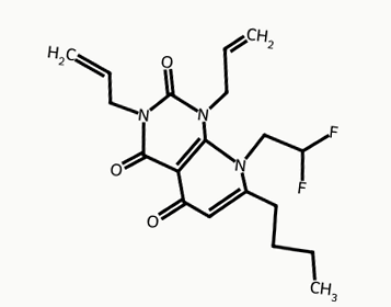 C=CCn1c(=O)c2c(=O)cc(CCCC)n(CC(F)F)c2n(CC=C)c1=O